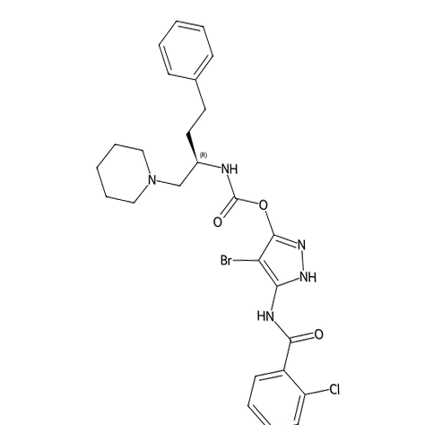 O=C(N[C@H](CCc1ccccc1)CN1CCCCC1)Oc1n[nH]c(NC(=O)c2ccccc2Cl)c1Br